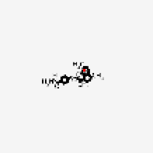 C[C@H]1C(OCc2ccc(C(=O)NN)cc2)OC2O[C@]3(C)CCC4[C@H](C)CCC1[C@@]24OO3